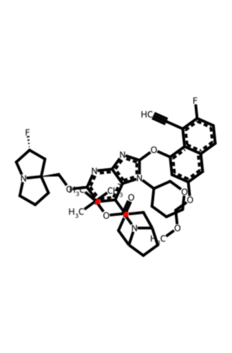 C#Cc1c(F)ccc2cc(OCOC)cc(Oc3nc4nc(OC[C@@]56CCCN5C[C@H](F)C6)nc(N5CC6CCC(C5)N6C(=O)OC(C)(C)C)c4n3C3CCCOC3)c12